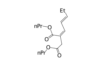 CCC=CC=C(CC(=O)OCCC)C(=O)OCCC